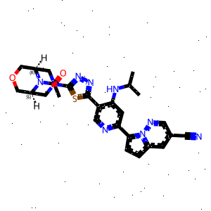 CC(=O)N1[C@@H]2COC[C@H]1CN(c1nnc(-c3cnc(-c4ccc5cc(C#N)cnn45)cc3NC(C)C)s1)C2